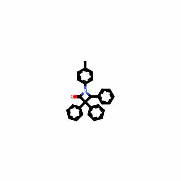 Cc1ccc(N2C(=O)C(c3ccccc3)(c3ccccc3)C2c2ccccc2)cc1